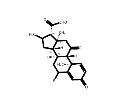 CC1C[C@H]2[C@@H]3CC(F)C4=CC(=O)C=C[C@]4(C)[C@H]3C(=O)C[C@]2(C)[C@H]1C(=O)C=O